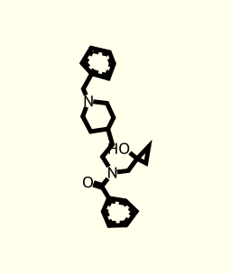 O=C(c1ccccc1)N(CCC1CCN(Cc2ccccc2)CC1)CC1(O)CC1